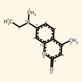 CCN(C)c1ccc2c(C)cc(=O)oc2c1